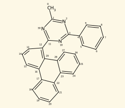 Cc1nc(-c2ccccc2)nc(-c2cccc3c4ccccc4c4ccccc4c23)n1